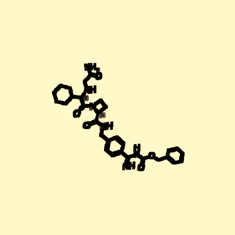 N=C(NC(=O)OCc1ccccc1)c1ccc(CNC(=O)[C@@H]2CCN2C(=O)[C@H](NCC(N)=O)C2CCCCC2)cc1